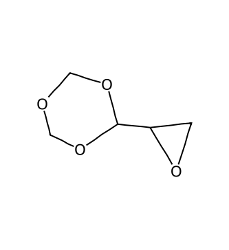 C1OCOC(C2CO2)O1